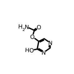 NC(=O)Oc1cncnc1O